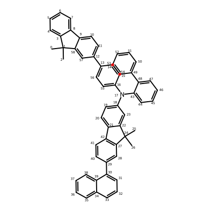 CC1(C)c2ccccc2-c2ccc(-c3ccc(N(c4ccc5c(c4)C(C)(C)c4cc(-c6cccc7ccccc67)ccc4-5)c4ccccc4-c4ccccc4)cc3)cc21